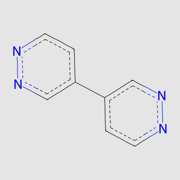 c1cc(-c2ccnnc2)cnn1